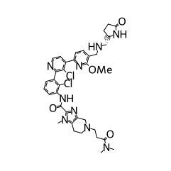 COc1nc(-c2ccnc(-c3cccc(NC(=O)c4nc5c(n4C)CCN(CCC(=O)N(C)C)C5)c3Cl)c2Cl)ccc1CNC[C@@H]1CCC(=O)N1